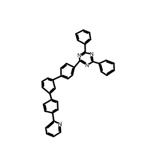 c1ccc(-c2nc(-c3ccccc3)nc(-c3ccc(-c4cccc(-c5ccc(-c6ccccn6)cc5)c4)cc3)n2)cc1